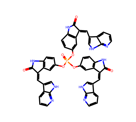 O=C1Nc2ccc(OP(=O)(Oc3ccc4c(c3)/C(=C\c3c[nH]c5ncccc35)C(=O)N4)Oc3ccc4c(c3)/C(=C\c3c[nH]c5ncccc35)C(=O)N4)cc2/C1=C\c1c[nH]c2ncccc12